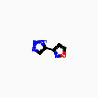 c1cc(-c2cnn[nH]2)no1